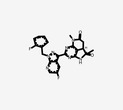 CC[C@@]12CC(=O)N(C)c3nc(-c4nn(Cc5ccccc5F)c5ncc(F)cc45)nc(c31)NC2=O